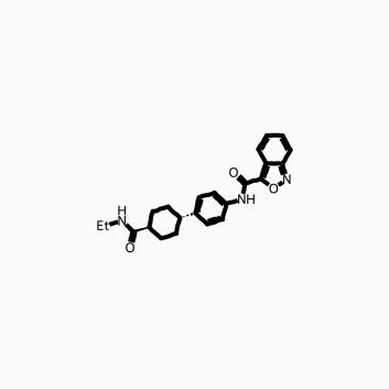 CCNC(=O)[C@H]1CC[C@H](c2ccc(NC(=O)c3onc4ccccc34)cc2)CC1